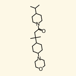 CC(C)C1CCN(C(=O)CC(C)(C)C2CCC(N3CCOCC3)CC2)CC1